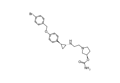 NC(=O)O[C@@H]1CCN(CCN[C@@H]2C[C@H]2c2ccc(OCc3ccc(Br)cc3)cc2)C1